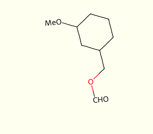 COC1CCCC(COC=O)C1